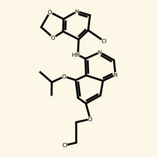 CC(C)Oc1cc(OCCCl)cc2ncnc(Nc3c(Cl)cnc4c3OCO4)c12